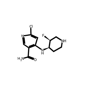 NC(=O)c1cnc(Cl)cc1N[C@@H]1CCNC[C@@H]1F